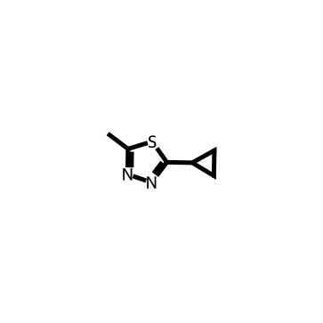 Cc1nnc(C2CC2)s1